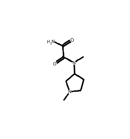 CN1CCC(N(C)C(=O)C(N)=O)C1